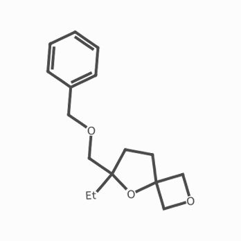 CCC1(COCc2ccccc2)CCC2(COC2)O1